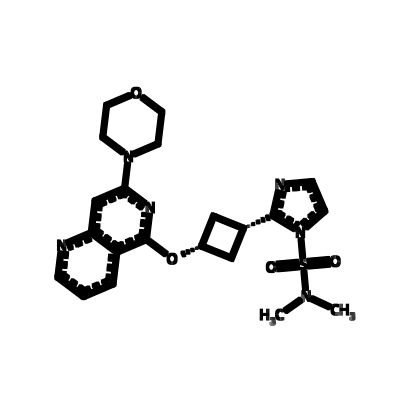 CN(C)S(=O)(=O)n1ccnc1[C@H]1C[C@@H](Oc2nc(N3CCOCC3)cc3ncccc23)C1